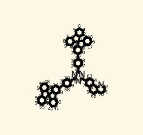 c1ccc2c(c1)-c1ccccc1C21c2ccccc2-c2cc(-c3ccc(-c4nc(-c5ccc(-c6ccc7c(c6)-c6ccccc6C76c7ccccc7-c7ccccc76)cc5)nc(-c5ccc6c(ccc7cccnc76)c5)n4)cc3)ccc21